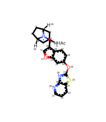 CC(=O)NC1C[C@H]2CC[C@@H](C1)N2Cc1coc2cc(Oc3nc4ncccc4s3)ccc12